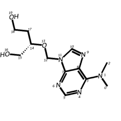 CN(C)c1ncnc2c1ncn2CO[C@H](CO)CCO